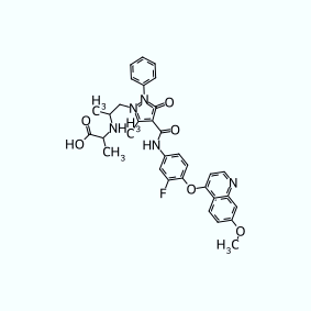 COc1ccc2c(Oc3ccc(NC(=O)c4c(C)n(CC(C)NC(C)C(=O)O)n(-c5ccccc5)c4=O)cc3F)ccnc2c1